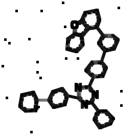 c1ccc(-c2ccc(-c3nc(-c4ccccc4)nc(-c4ccc(-c5cccc(-c6cccc7oc8ccccc8c67)c5)cc4)n3)cc2)cc1